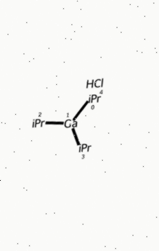 C[CH](C)[Ga]([CH](C)C)[CH](C)C.Cl